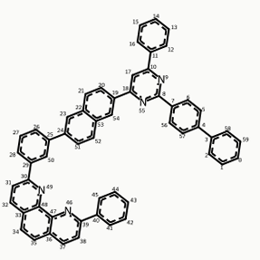 c1ccc(-c2ccc(-c3nc(-c4ccccc4)cc(-c4ccc5cc(-c6cccc(-c7ccc8ccc9ccc(-c%10ccccc%10)nc9c8n7)c6)ccc5c4)n3)cc2)cc1